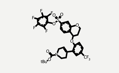 CC(C)(C)OC(=O)N1CC=C(c2cc(C(F)(F)F)ccc2OC2CCOc3cc(S(=O)(=O)Oc4c(F)c(F)c(F)c(F)c4F)ccc32)CC1